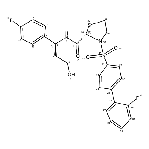 O=C(N[C@@H](CCO)c1ccc(F)cc1)[C@@H]1SCCN1S(=O)(=O)c1ccc(-c2ccccc2F)cc1